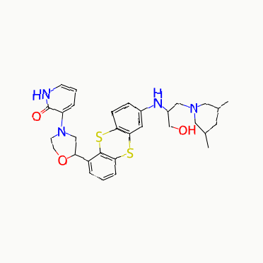 CC1CC(C)CN(CC(CO)Nc2ccc3c(c2)Sc2cccc(C4CN(c5ccc[nH]c5=O)CCO4)c2S3)C1